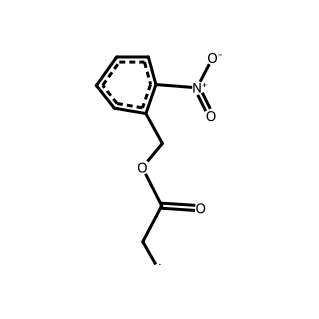 [CH2]CC(=O)OCc1ccccc1[N+](=O)[O-]